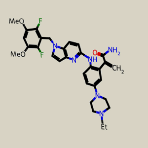 C=C(C(N)=O)c1cc(N2CCN(CC)CC2)ccc1Nc1ccc2c(ccn2Cc2c(F)c(OC)cc(OC)c2F)n1